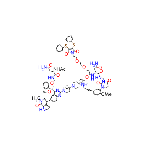 COc1ccc(C#CCNC2(C)CCN(C3CCN(c4nc([C@@](COCNC(=O)[C@H](CC(N)=O)NC(C)=O)(OC5CC5)c5ccccc5)c5cc(-c6cn(C)c(=O)c7[nH]ccc67)ccc5n4)CC3)CC2)cc1N1CCC(=O)N(CNC(=O)[C@H](CC(N)=O)NC(=O)CCOCCOCCN2C(=O)C(Sc3ccccc3)=C(Sc3ccccc3)C2=O)C1=O